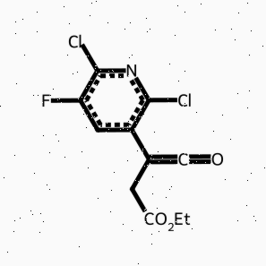 CCOC(=O)CC(=C=O)c1cc(F)c(Cl)nc1Cl